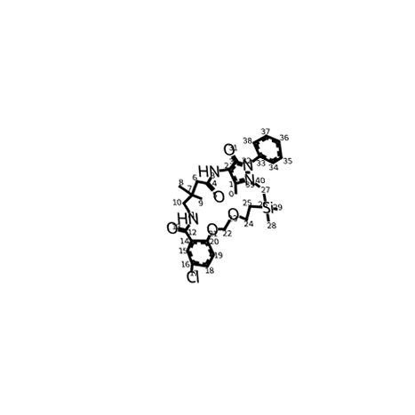 Cc1c(NC(=O)CC(C)(C)CNC(=O)c2cc(Cl)ccc2OCOCC[Si](C)(C)C)c(=O)n(-c2ccccc2)n1C